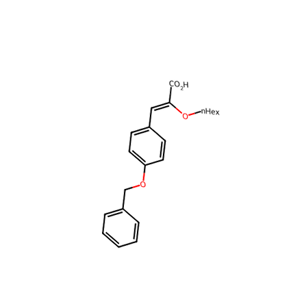 CCCCCCOC(=Cc1ccc(OCc2ccccc2)cc1)C(=O)O